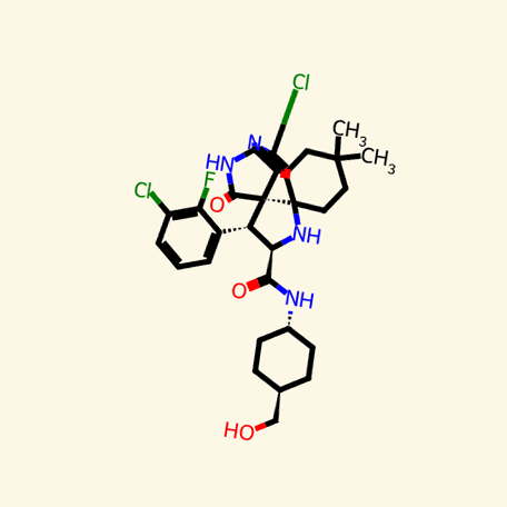 CC1(C)CCC2(CC1)N[C@@H](C(=O)N[C@H]1CC[C@H](CO)CC1)[C@H](c1cccc(Cl)c1F)[C@]21C(=O)Nc2nc(Cl)ccc21